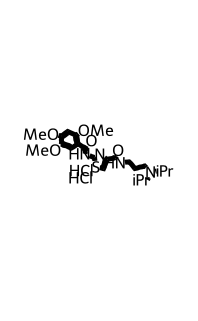 COc1cc(OC)c(C(=O)Nc2nc(C(=O)NCCCN(C(C)C)C(C)C)cs2)cc1OC.Cl.Cl